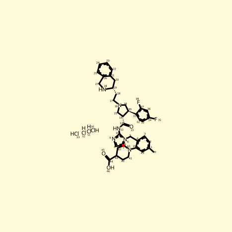 Cc1ccc(Cn2ccnc2NC(=O)[C@@H]2CN(CC[C@H]3Cc4ccccc4CN3)C[C@H]2c2ccc(F)cc2F)c(N2CCC(C(=O)O)CC2)c1.Cl.Cl.Cl.Cl